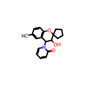 N#Cc1ccc2c(c1)C(n1ccccc1=O)C(O)C1(CCCC1)O2